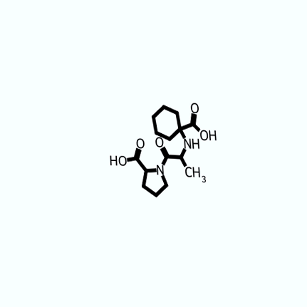 CC(NC1(C(=O)O)CCCCC1)C(=O)N1CCCC1C(=O)O